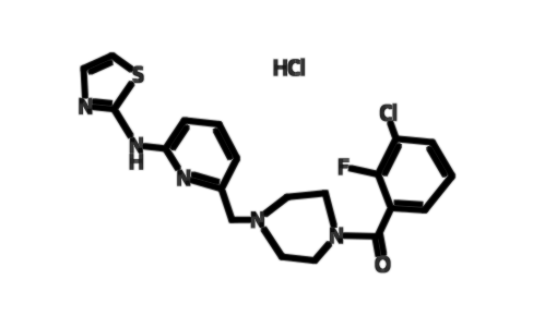 Cl.O=C(c1cccc(Cl)c1F)N1CCN(Cc2cccc(Nc3nccs3)n2)CC1